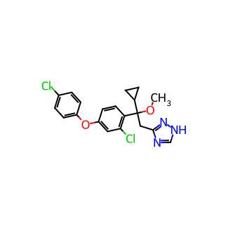 COC(Cc1nc[nH]n1)(c1ccc(Oc2ccc(Cl)cc2)cc1Cl)C1CC1